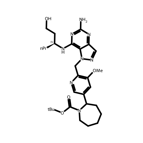 CCC[C@@H](CCO)Nc1nc(N)nc2cnn(Cc3ncc(C4CCCCCN4C(=O)OC(C)(C)C)cc3OC)c12